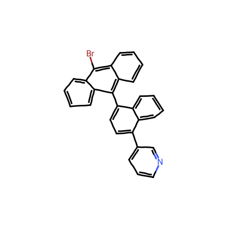 Brc1c2ccccc2c(-c2ccc(-c3cccnc3)c3ccccc23)c2ccccc12